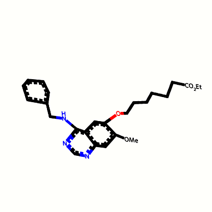 CCOC(=O)CCCCCCOc1cc2c(NCc3ccccc3)ncnc2cc1OC